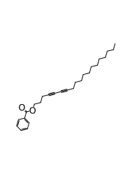 CCCCCCCCCCCCC#CC#CCCCOC(=O)c1ccccc1